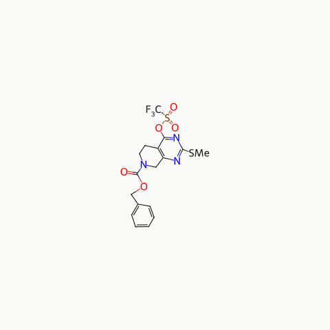 CSc1nc2c(c(OS(=O)(=O)C(F)(F)F)n1)CCN(C(=O)OCc1ccccc1)C2